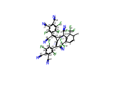 CC1C=CC(C(F)(F)F)=C(/C(C#N)=C2/C(=C(C#N)c3c(F)c(F)c(C#N)c(C#N)c3F)/C2=C(/C#N)c2c(F)c(F)c(C#N)c(C#N)c2F)C1C(F)(F)F